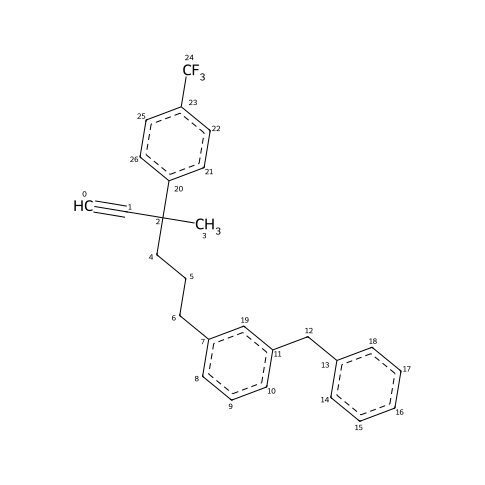 C#CC(C)(CCCc1cccc(Cc2ccccc2)c1)c1ccc(C(F)(F)F)cc1